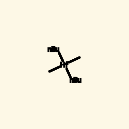 CCC[CH2][Hf]([CH3])([CH3])[CH2]CCC